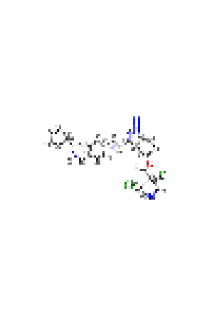 CC(Oc1ccc2[nH]nc(/C=C/c3ccc(CN(C)Cc4ccccc4)cc3)c2c1)c1c(Cl)cncc1Cl